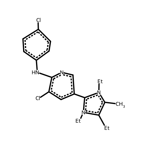 CCc1c(C)n(CC)c(-c2cnc(Nc3ccc(Cl)cc3)c(Cl)c2)[n+]1CC